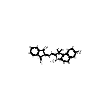 CCCCN1/C(=C\C=C2C(=O)c3ccccc3C2=O)C(C)(C)c2c1ccc1cc(Br)ccc21